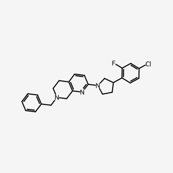 Fc1cc(Cl)ccc1C1CCN(c2ccc3c(n2)CN(Cc2ccccc2)CC3)C1